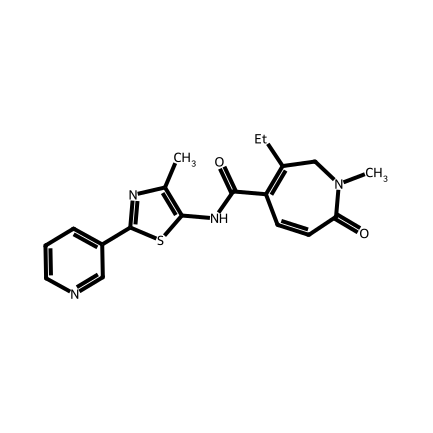 CCC1=C(C(=O)Nc2sc(-c3cccnc3)nc2C)C=CC(=O)N(C)C1